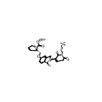 CC(C)(C)OC(=O)N1CCC[C@H]1COc1ccc2c(c1)CN(C1CCC(=O)N(COCC[Si](C)(C)C)C1=O)C2=O